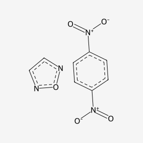 O=[N+]([O-])c1ccc([N+](=O)[O-])cc1.c1cnon1